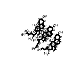 CC(C)CCC(O)[C@@H](C)[C@H]1CC[C@H]2[C@@H]3CC=C4C[C@@H](O)CC[C@]4(C)[C@H]3CC[C@]12C.CC(C)CCC[C@@](C)(O)[C@H]1CC[C@H]2[C@@H]3CC=C4C[C@@H](O)CC[C@]4(C)[C@H]3CC[C@@]21C.CC(C)[C@@H](O)CC[C@@H](C)[C@H]1CC[C@H]2[C@@H]3CC=C4C[C@@H](O)CC[C@]4(C)[C@H]3CC[C@]12C